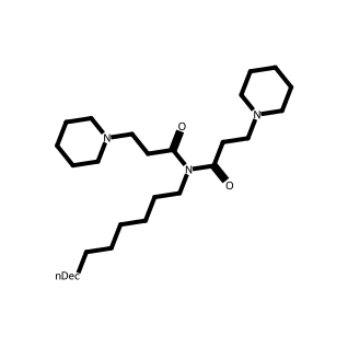 CCCCCCCCCCCCCCCCN(C(=O)CCN1CCCCC1)C(=O)CCN1CCCCC1